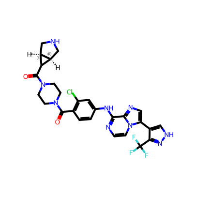 O=C(c1ccc(Nc2nccn3c(-c4c[nH]nc4C(F)(F)F)cnc23)cc1Cl)N1CCN(C(=O)C2[C@H]3CNC[C@@H]23)CC1